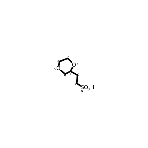 O=S(=O)(O)CCC1COCCO1